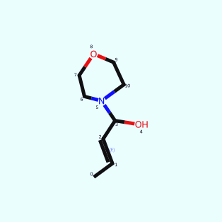 C/C=C/C(O)N1CCOCC1